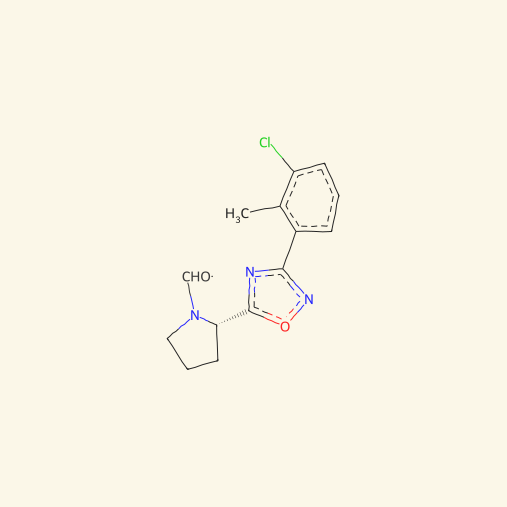 Cc1c(Cl)cccc1-c1noc([C@@H]2CCCN2[C]=O)n1